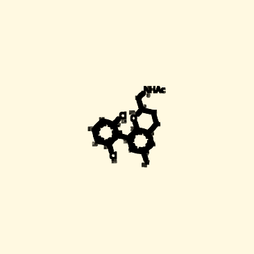 CC(=O)NCC1CCc2cc(F)cc(-c3c(Cl)cccc3Cl)c2O1